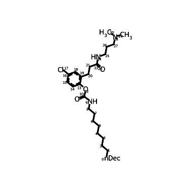 CCCCCCCCCCCCCCCCCCNC(=O)Oc1ccc(Cl)cc1CCC(=O)NCCCN(C)C